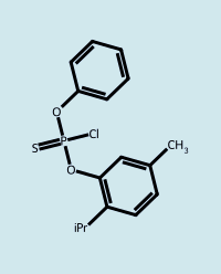 Cc1ccc(C(C)C)c(OP(=S)(Cl)Oc2ccccc2)c1